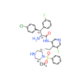 C[C@@H]1CNC[C@H](CCc2c(F)cncc2NC(=O)[C@@H](N)[C@@H](c2ccc(Cl)cc2)c2cccc(F)c2)N1S(=O)(=O)c1ccccc1